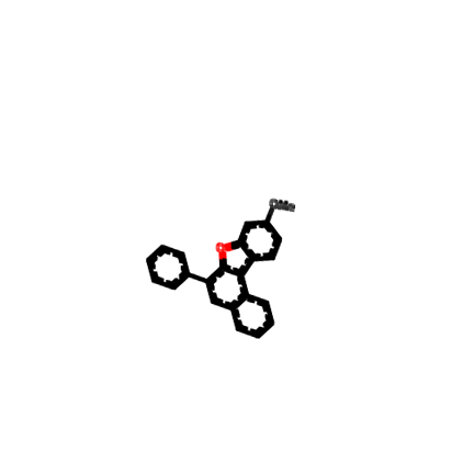 COc1ccc2c(c1)oc1c(-c3ccccc3)cc3ccccc3c12